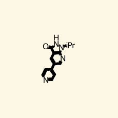 CC(C)n1[nH]c(=O)c2cc(-c3ccncc3)cnc21